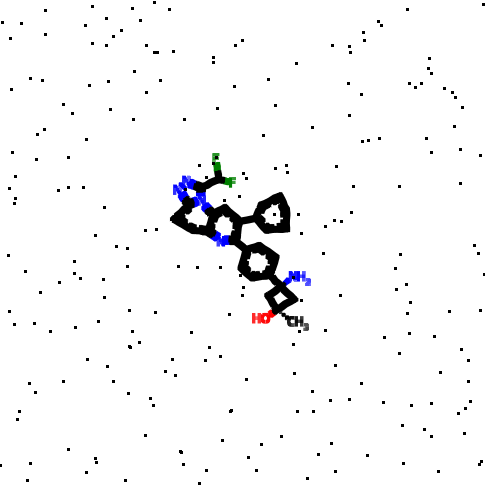 C[C@]1(O)C[C@](N)(c2ccc(-c3nc4ccc5nnc(C(F)F)n5c4cc3-c3ccccc3)cc2)C1